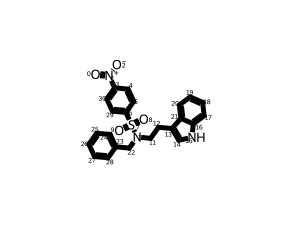 O=[N+]([O-])c1ccc(S(=O)(=O)N(CCc2c[nH]c3ccccc23)Cc2ccccc2)cc1